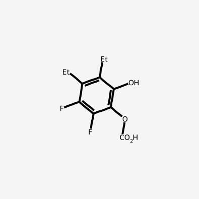 CCc1c(O)c(OC(=O)O)c(F)c(F)c1CC